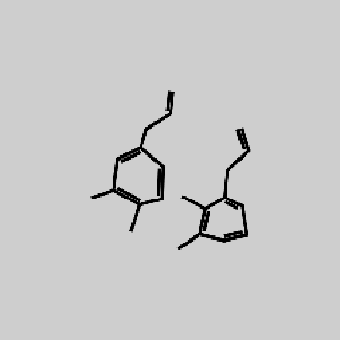 C=CCc1ccc(C)c(C)c1.C=CCc1cccc(C)c1C